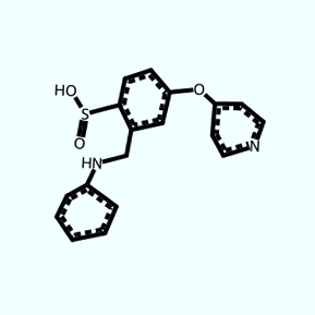 O=S(O)c1ccc(Oc2ccncc2)cc1CNc1ccccc1